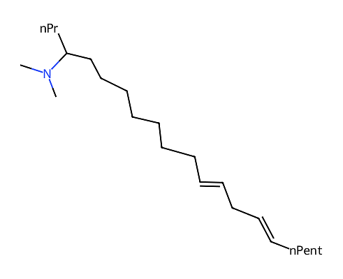 CCCCCC=CCC=CCCCCCCCC(CCC)N(C)C